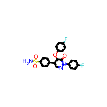 NS(=O)(=O)c1ccc(-c2cnn(-c3ccc(F)cc3)c(=O)c2Oc2ccc(F)cc2)cc1